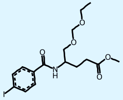 CCOCOCC(CCC(=O)OC)NC(=O)c1ccc(I)cc1